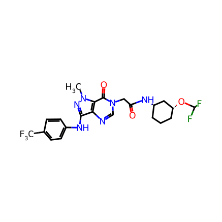 Cn1nc(Nc2ccc(C(F)(F)F)cc2)c2ncn(CC(=O)N[C@H]3CCC[C@@H](OC(F)F)C3)c(=O)c21